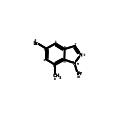 Cc1cc(Br)cc2cnn(C(C)C)c12